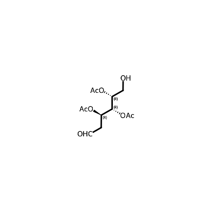 CC(=O)O[C@@H]([C@@H](CO)OC(C)=O)[C@@H](CC=O)OC(C)=O